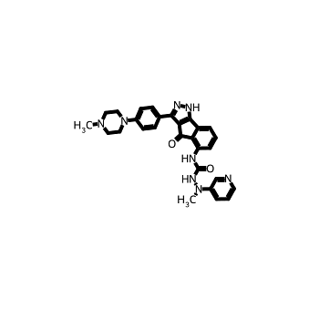 CN1CCN(c2ccc(-c3n[nH]c4c3C(=O)c3c(NC(=O)NN(C)c5cccnc5)cccc3-4)cc2)CC1